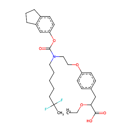 CCOC(Cc1ccc(OCCN(CCCCCC(C)(F)F)C(=O)Oc2ccc3c(c2)CCC3)cc1)C(=O)O